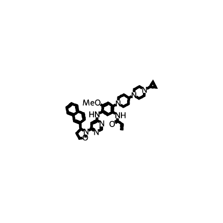 C=CC(=O)Nc1cc(Nc2cc(N3OCCC3c3ccc4ccccc4c3)ncn2)c(OC)cc1N1CCC(N2CCN(C3CC3)CC2)CC1